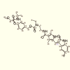 CCN(CCNC(=O)c1c(C)[nH]c(/C=C2\C(=O)Nc3ccc(F)cc32)c1C)C(=O)OCc1ccc(OP(=O)(COC)NC(C)C)cc1